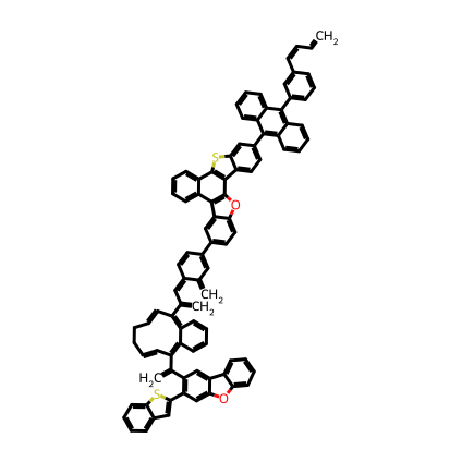 C=C/C=C\c1cccc(-c2c3ccccc3c(-c3ccc4c(c3)sc3c5ccccc5c5c6cc(-c7cc/c(=C/C(=C)C8=c9\cccc\c9=C(C(=C)c9cc%10c(cc9-c9cc%11ccccc%11s9)oc9ccccc9%10)\C=C\CC\C=C\8)c(=C)c7)ccc6oc5c43)c3ccccc23)c1